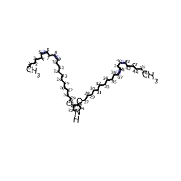 CCCCC/C=C\C/C=C\CCCCCCCCCCO[C@@H]1CNC[C@H]1OCCCCCCCCCC/C=C\C/C=C\CCCCC